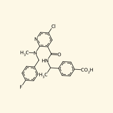 CC(NC(=O)c1cc(Cl)cnc1N(C)Cc1ccc(F)cc1)c1ccc(C(=O)O)cc1